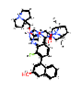 O=C(Cn1ccnc1)N1[C@@H]2CC[C@H]1CN(c1nc(OCC34CCCN3CCC4)nc3c(F)c(-c4cc(O)cc5ccccc45)ccc13)C2